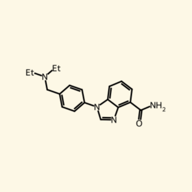 CCN(CC)Cc1ccc(-n2cnc3c(C(N)=O)cccc32)cc1